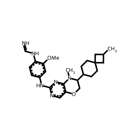 COc1cc(Nc2ncc3c(n2)N(C)C(C2CCC4(CC2)CC(C)C4)CO3)ccc1NC=N